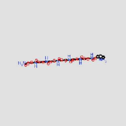 NC(=O)COCCOCCNC(=O)COCCOCCNC(=O)COCCOCCNC(=O)COCCOCCNC(=O)COCCOCCNC(=O)COCCOCCNC(=O)COc1ccc2c(c1)C(N)c1ccccc1CC2